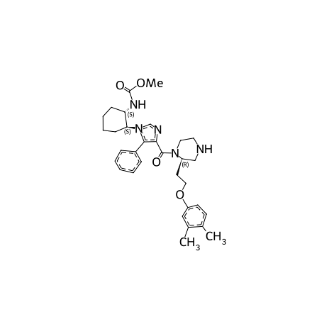 COC(=O)N[C@H]1CCCC[C@@H]1n1cnc(C(=O)N2CCNC[C@H]2CCOc2ccc(C)c(C)c2)c1-c1ccccc1